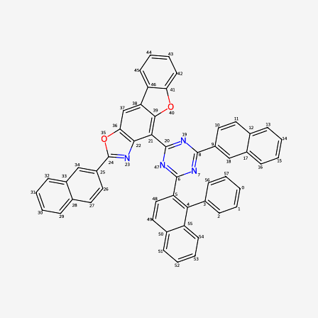 c1ccc(-c2c(-c3nc(-c4ccc5ccccc5c4)nc(-c4c5nc(-c6ccc7ccccc7c6)oc5cc5c4oc4ccccc45)n3)ccc3ccccc23)cc1